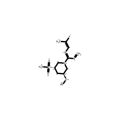 C=N/C(=N\C=C(/C)F)N1C[C@@H](OC(C)C)C[C@H](S(N)(=O)=O)C1